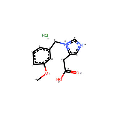 COc1cccc(Cn2cncc2CC(=O)O)c1.Cl